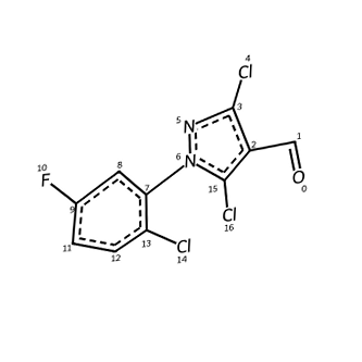 O=Cc1c(Cl)nn(-c2cc(F)ccc2Cl)c1Cl